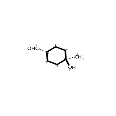 C[C@]1(O)CC[C@H](C=O)CC1